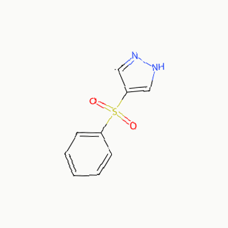 O=S(=O)(c1[c]n[nH]c1)c1ccccc1